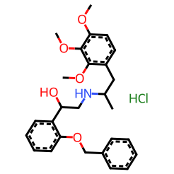 COc1ccc(CC(C)NCC(O)c2ccccc2OCc2ccccc2)c(OC)c1OC.Cl